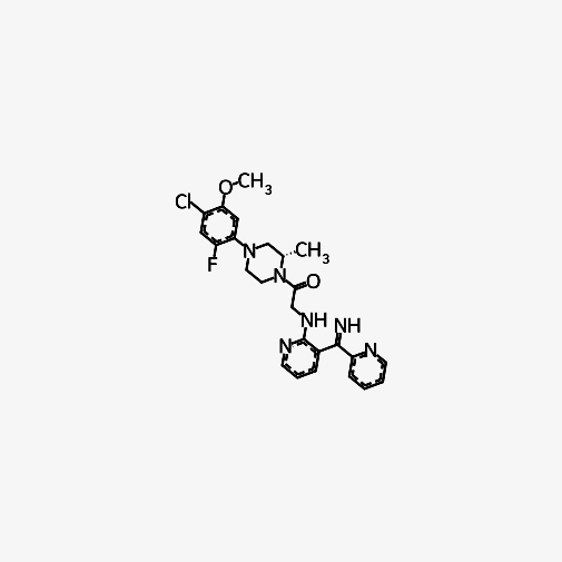 COc1cc(N2CCN(C(=O)CNc3ncccc3C(=N)c3ccccn3)[C@@H](C)C2)c(F)cc1Cl